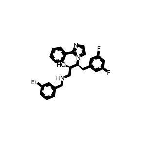 CCc1cccc(CNC[C@@H](O)[C@H](Cc2cc(F)cc(F)c2)n2ccnc2-c2ccccc2)c1